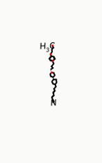 CCCCCc1ccc(CCCC[C@H]2CC[C@H](C3CCC(CC/C=C/C=C/C#N)CC3)CC2)cc1